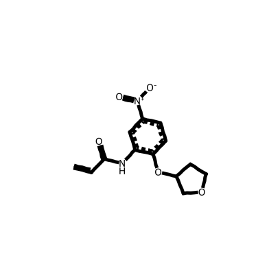 C=CC(=O)Nc1cc([N+](=O)[O-])ccc1OC1CCOC1